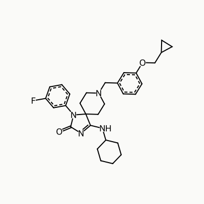 O=C1N=C(NC2CCCCC2)C2(CCN(Cc3cccc(OCC4CC4)c3)CC2)N1c1cccc(F)c1